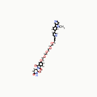 Cn1c2ccncc2c2ccc(-c3ccc(C#CCOCCOCCOCCOCCOc4ccc5c(c4)C(=O)N(C4CCC(=O)NC4=O)C5=O)nc3)cc21